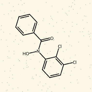 O=C(c1ccccc1)N(O)c1cccc(Cl)c1Cl